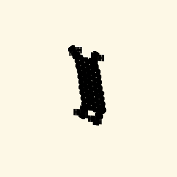 CC(C)(C1=NCCN1)C1CC2CC3CC4CC5CC6CC7CC8CC9CC(C(C)(C)C%10=NCCN%10)C%10CC%11CC%12C%13C(CCC%12C(C)(C)C%12=NCCN%12)CC%12CC%14CC%15CC%16CC%17CC%18CC%19CCC%20(C(C)(C)C%21=NCCN%21)CC%21CC(C1)C2C1C3C2C4C3C5C4C6C5C7C6C8C7C9C%10C8C%11C%13C%12C9C%14C%10C%15C%11C%16C%12C%17C%13C%18C%14C(C3C%13C4C%12C5C%11C6C%10C7C98)C2C(C%211)C%20C%19%14